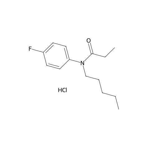 CCCCCN(C(=O)CC)c1ccc(F)cc1.Cl